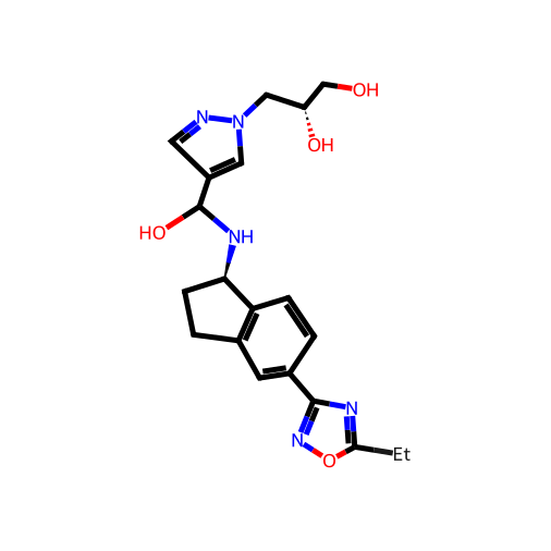 CCc1nc(-c2ccc3c(c2)CC[C@H]3NC(O)c2cnn(C[C@@H](O)CO)c2)no1